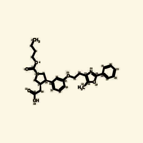 CCCCOC(=O)N1C[C@H](CC(=O)O)[C@H](c2cccc(OCCc3nc(-c4ccccc4)oc3C)c2)C1